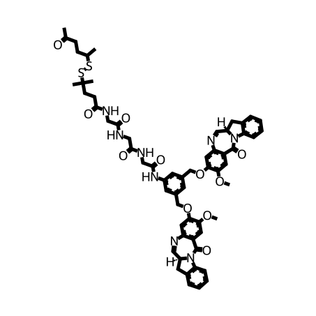 COc1cc2c(cc1OCc1cc(COc3cc4c(cc3OC)C(=O)N3c5ccccc5C[C@H]3C=N4)cc(NC(=O)CNC(=O)CNC(=O)CNC(=O)CCC(C)(C)SSC(C)CCC(C)=O)c1)N=C[C@@H]1Cc3ccccc3N1C2=O